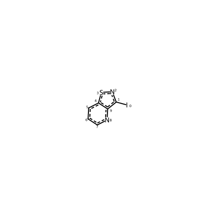 Ic1nsc2cccnc12